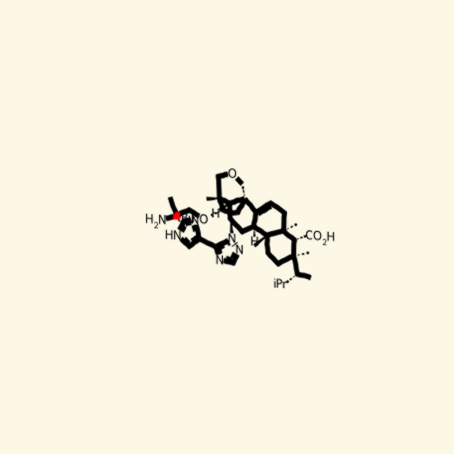 CC(C)[C@@H](C)[C@@]1(C)CC[C@]2(C)[C@H]3CC[C@H]4[C@@]5(COC[C@@]4(C)[C@@H](OC[C@](C)(N)C(C)(C)C)[C@H](n4ncnc4-c4c[nH]cn4)C5)C3=CC[C@@]2(C)[C@@H]1C(=O)O